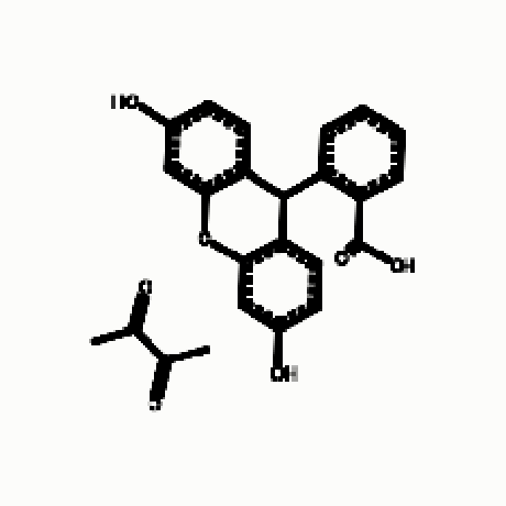 CC(=O)C(C)=O.O=C(O)c1ccccc1C1c2ccc(O)cc2Oc2cc(O)ccc21